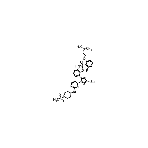 CN(C)CCOc1cccc(F)c1S(=O)(=O)Nc1cccc(-c2nc(C(C)(C)C)sc2-c2ccnc(NC3CCN(S(C)(=O)=O)CC3)n2)c1F